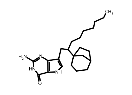 CCCCCCCC(Cc1c[nH]c2c(=O)[nH]c(N)nc12)C12CCCC(CC1)C2